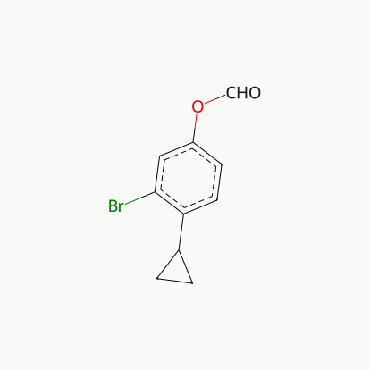 O=COc1ccc(C2CC2)c(Br)c1